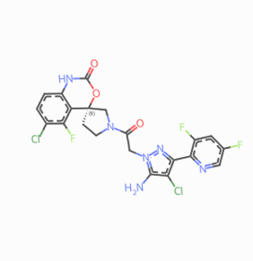 Nc1c(Cl)c(-c2ncc(F)cc2F)nn1CC(=O)N1CC[C@@]2(C1)OC(=O)Nc1ccc(Cl)c(F)c12